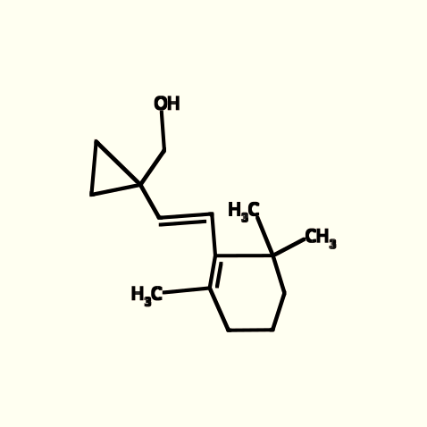 CC1=C(/C=C/C2(CO)CC2)C(C)(C)CCC1